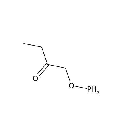 CCC(=O)COP